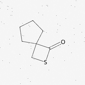 O=C1SCC12CCCC2